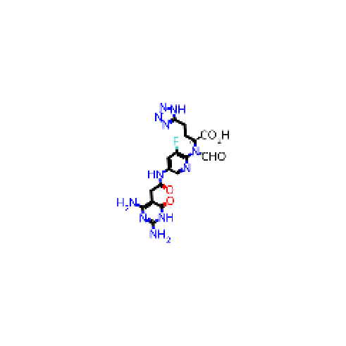 Nc1nc(N)c(CC(=O)Nc2cnc(N(C=O)[C@@H](CCc3nnn[nH]3)C(=O)O)c(F)c2)c(=O)[nH]1